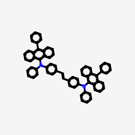 C(=C\c1ccc(N(c2ccccc2)c2c3ccccc3c(-c3ccccc3)c3ccccc23)cc1)/c1ccc(N(c2ccccc2)c2c3ccccc3c(-c3ccccc3)c3ccccc23)cc1